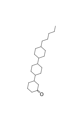 CCCCCC1CCC(C2CCC(C3CCCC(=O)C3)CC2)CC1